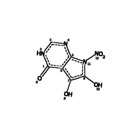 O=c1[nH]cnc2c1c(O)c(O)n2[N+](=O)[O-]